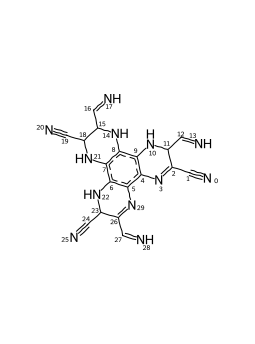 N#CC1=Nc2c3c(c4c(c2NC1C=N)NC(C=N)C(C#N)N4)NC(C#N)C(C=N)=N3